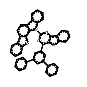 c1ccc(-c2cc(-c3ccccc3)cc(-c3nc(-n4c5ccccc5c5ccc6c7ccccc7sc6c54)nc4c3sc3ccccc34)c2)cc1